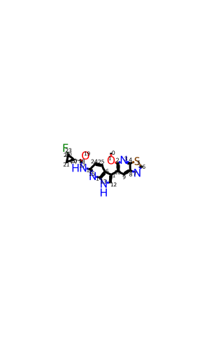 COc1nc2scnc2cc1-c1c[nH]c2nc(NC(=O)[C@@H]3C[C@@H]3F)ccc12